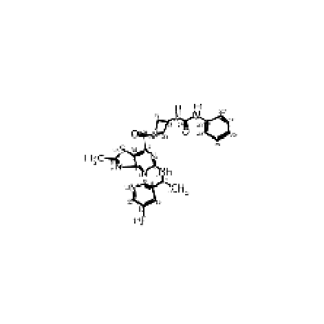 Cc1nc2nc(N[C@@H](C)c3cncc(F)c3)nc(C(=O)N3CC(NC(=O)Nc4ccccc4)C3)c2s1